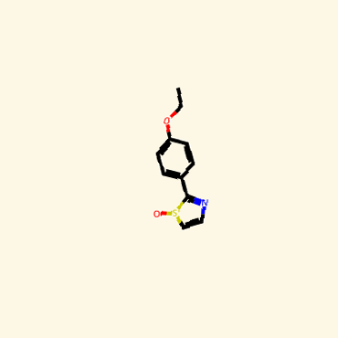 CCOc1ccc(-c2ncc[s+]2[O-])cc1